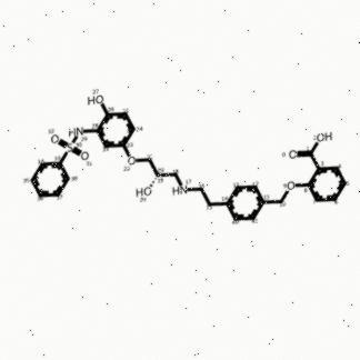 O=C(O)c1ccccc1OCc1ccc(CCNC[C@H](O)COc2ccc(O)c(NS(=O)(=O)c3ccccc3)c2)cc1